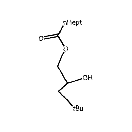 CCCCCCCC(=O)OCC(O)CC(C)(C)C